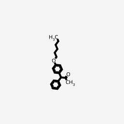 CCCCCCOc1ccc(C(C(C)=O)c2cc[c]cc2)cc1